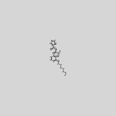 CCCCCCCOc1ccccc1OC(C)C(=O)OC(=O)c1cscn1